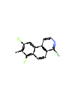 Cc1c(F)cc2c(ccc3c(Cl)nccc32)c1F